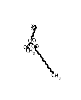 CCCCCCCCCCCCCCCC(=O)OCC(COC(C)=O)OC(=O)CCCC[C@@H]1CCSS1